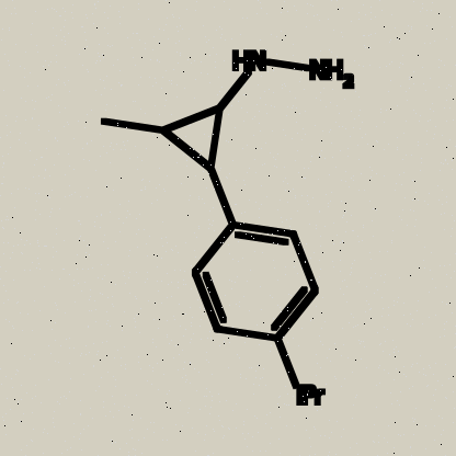 CC(C)c1ccc(C2C(C)C2NN)cc1